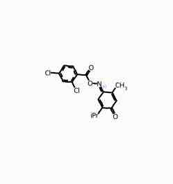 CC1=CC(=O)C(C(C)C)=C/C1=N\OC(=O)c1ccc(Cl)cc1Cl